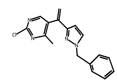 C=C(c1ccn(Cc2ccccc2)n1)c1cnc(Cl)nc1C